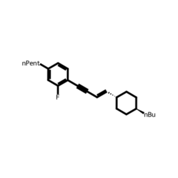 CCCCCc1ccc(C#C/C=C/[C@H]2CC[C@H](CCCC)CC2)c(F)c1